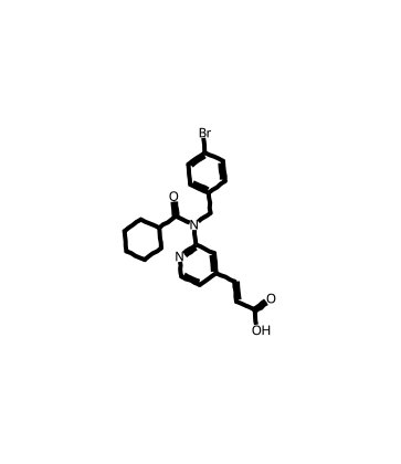 O=C(O)C=Cc1ccnc(N(Cc2ccc(Br)cc2)C(=O)C2CCCCC2)c1